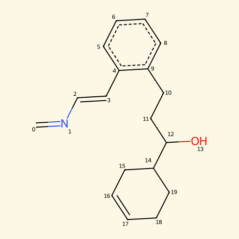 C=N/C=C/c1ccccc1CCC(O)C1CC=CCC1